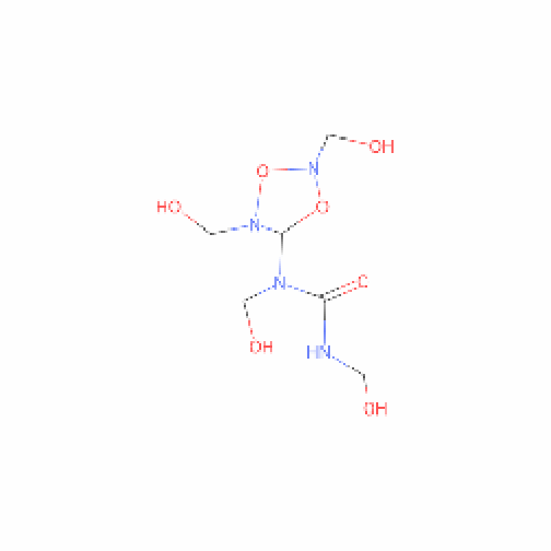 O=C(NCO)N(CO)C1ON(CO)ON1CO